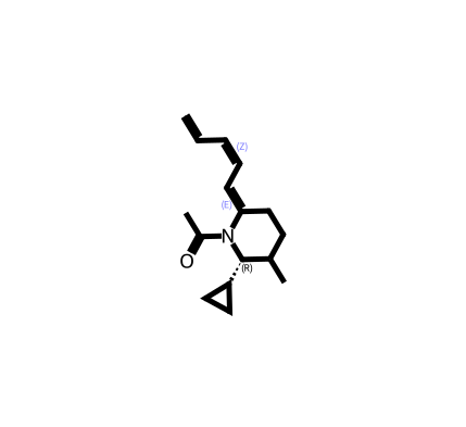 C=C/C=C\C=C1/CCC(C)[C@H](C2CC2)N1C(C)=O